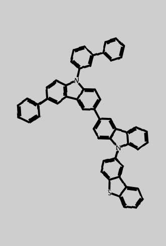 c1ccc(-c2cccc(-n3c4ccc(-c5ccccc5)cc4c4cc(-c5ccc6c(c5)c5ccccc5n6-c5ccc6sc7ccccc7c6c5)ccc43)c2)cc1